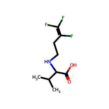 CC(C)C(NCCC(F)=C(F)F)C(=O)O